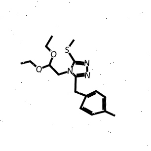 CCOC(Cn1c(Cc2ccc(C)cc2)nnc1SC)OCC